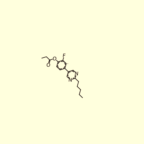 CCCCCc1ncc(-c2[c]c(F)c(OC(=O)CC)cc2)cn1